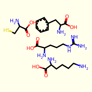 N=C(N)NCCCC(N)C(=O)O.NC(CS)C(=O)O.NC(Cc1ccccc1)C(=O)O.NCCCCC(N)C(=O)O